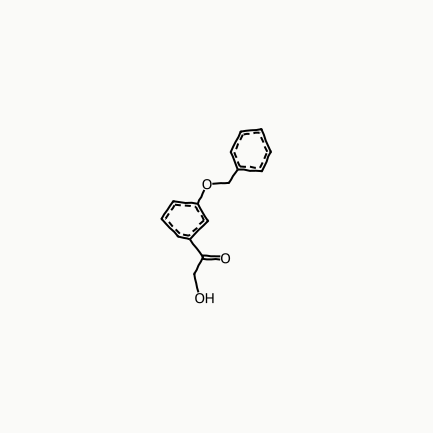 O=C(CO)c1cccc(OCc2ccccc2)c1